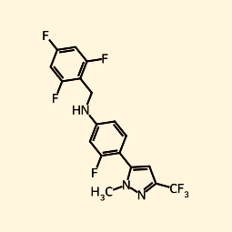 Cn1nc(C(F)(F)F)cc1-c1ccc(NCc2c(F)cc(F)cc2F)cc1F